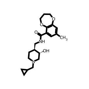 Cc1cc2c(c(C(=O)NC[C@@H]3CCN(CC4CC4)C[C@H]3O)c1)OCCCO2